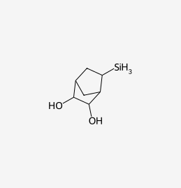 OC1C2CC([SiH3])C(C2)C1O